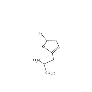 CCOC(=O)C(Cc1ccc(CC)o1)[N+](=O)[O-]